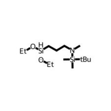 CCO[SiH](CCCN(C)[Si](C)(C)C(C)(C)C)OCC